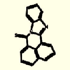 S=c1c2cccc3cccc(c32)c2nc3ccccc3n12